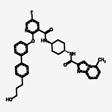 Cc1cccc2nc(C(=O)N[C@H]3CC[C@H](NC(=O)c4cc(F)cnc4Oc4cccc(-c5ccc(CCCO)cc5)c4)CC3)cn12